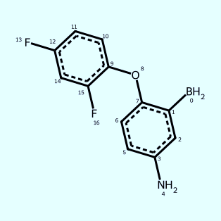 Bc1cc(N)ccc1Oc1ccc(F)cc1F